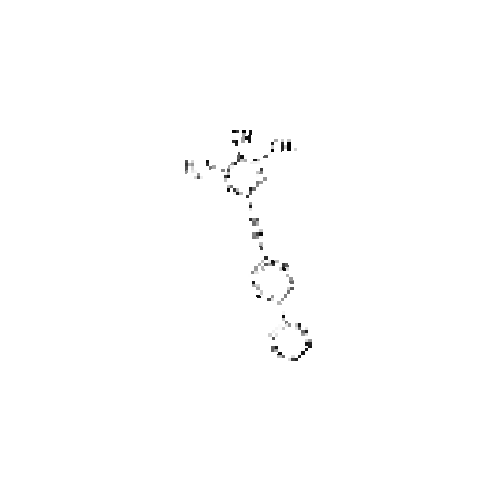 Cc1cc(C#Cc2ccc(-c3ccccc3)cc2)cc(P)c1C#N